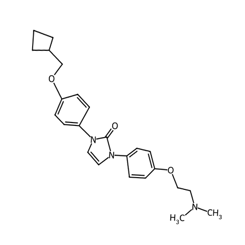 CN(C)CCOc1ccc(-n2ccn(-c3ccc(OCC4CCC4)cc3)c2=O)cc1